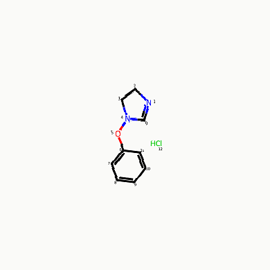 C1=NCCN1Oc1ccccc1.Cl